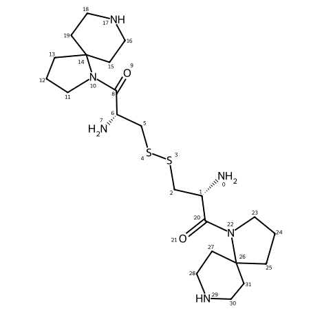 N[C@@H](CSSC[C@H](N)C(=O)N1CCCC12CCNCC2)C(=O)N1CCCC12CCNCC2